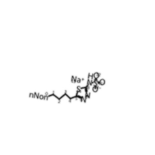 CCCCCCCCCCCCCc1nnc(NS(=O)(=O)[O-])s1.[Na+]